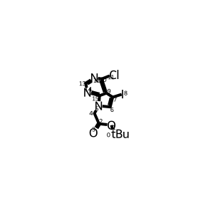 CC(C)(C)OC(=O)Cn1cc(I)c2c(Cl)ncnc21